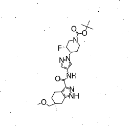 COC[C@@]1(C)CCc2c(C(=O)Nc3cnn([C@@H]4CCN(C(=O)OC(C)(C)C)C[C@H]4F)c3)n[nH]c2C1